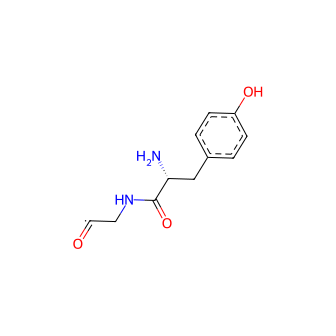 N[C@H](Cc1ccc(O)cc1)C(=O)NC[C]=O